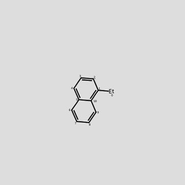 [CH2]Cc1[c]ccc2ccccc12